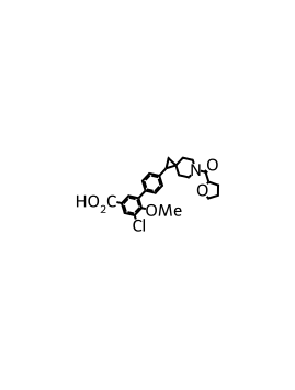 COc1c(Cl)cc(C(=O)O)cc1-c1ccc(C2CC23CCN(C(=O)C2CCCO2)CC3)cc1